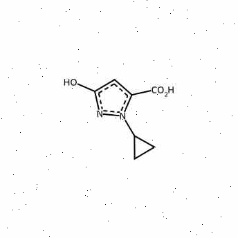 O=C(O)c1cc(O)nn1C1CC1